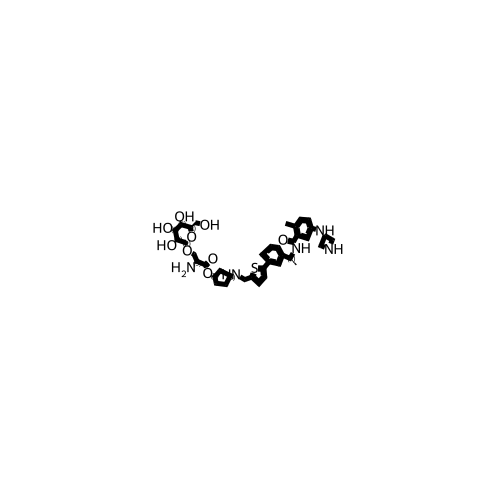 Cc1ccc(NC2CNC2)cc1C(=O)N[C@H](C)c1cccc(-c2ccc(CN[C@H]3CC[C@@H](OC(=O)[C@@H](N)CO[C@@H]4O[C@H](CO)[C@@H](O)[C@H](O)[C@H]4O)C3)s2)c1